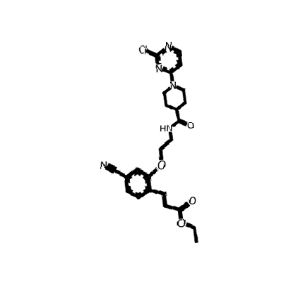 CCOC(=O)CCc1ccc(C#N)cc1OCCNC(=O)C1CCN(c2ccnc(Cl)n2)CC1